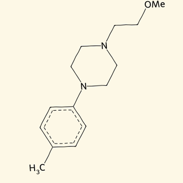 COCCN1CCN(c2ccc(C)cc2)CC1